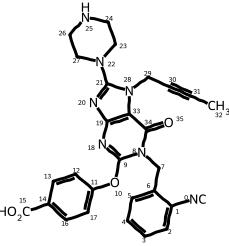 [C-]#[N+]c1ccccc1Cn1c(Oc2ccc(C(=O)O)cc2)nc2nc(N3CCNCC3)n(CC#CC)c2c1=O